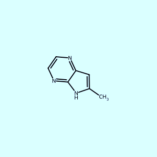 Cc1cc2nccnc2[nH]1